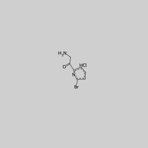 Cl.NCC(=O)c1cccc(Br)n1